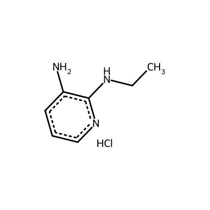 CCNc1ncccc1N.Cl